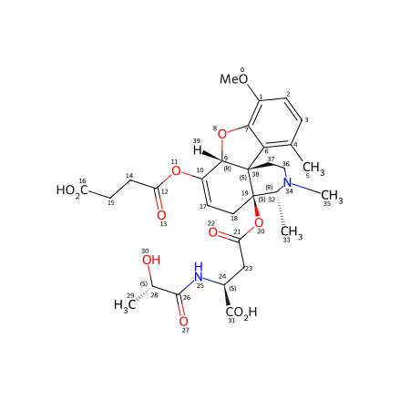 COc1ccc(C)c2c1O[C@H]1C(OC(=O)CCC(=O)O)=CC[C@@]3(OC(=O)C[C@H](NC(=O)[C@H](C)O)C(=O)O)[C@@H](C)N(C)CC[C@]213